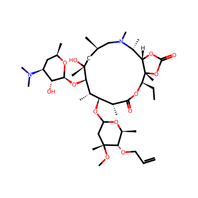 C=CCO[C@H]1[C@H](C)OC(O[C@H]2[C@H](C)[C@@H](O[C@@H]3O[C@H](C)C[C@H](N(C)C)[C@H]3O)[C@](C)(O)C[C@@H](C)CN(C)[C@H](C)[C@@H]3OC(=O)O[C@]3(C)[C@@H](CC)OC(=O)[C@@H]2C)C[C@@]1(C)OC